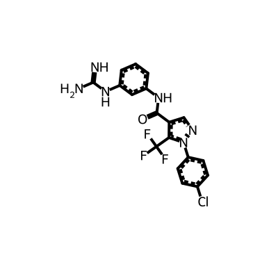 N=C(N)Nc1cccc(NC(=O)c2cnn(-c3ccc(Cl)cc3)c2C(F)(F)F)c1